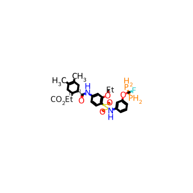 CCOC(=O)[C@H]1CC(C)=C(C)C[C@@H]1C(=O)Nc1ccc(S(=O)(=O)Nc2cccc(OC(F)(P)P)c2)c(OCC)c1